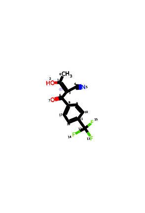 C/C(O)=C(\C#N)C(=O)c1ccc(C(F)(F)F)cc1